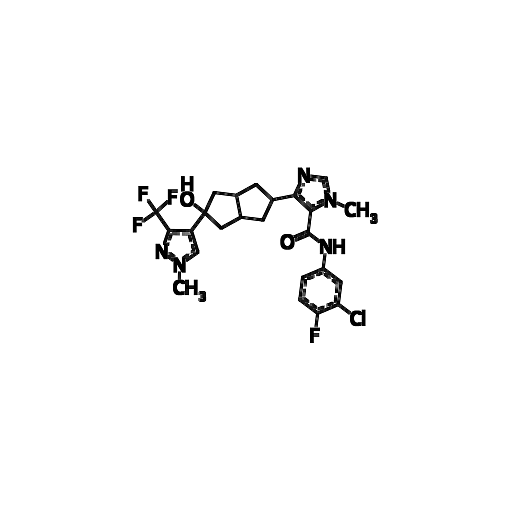 Cn1cc(C2(O)CC3CC(c4ncn(C)c4C(=O)Nc4ccc(F)c(Cl)c4)CC3C2)c(C(F)(F)F)n1